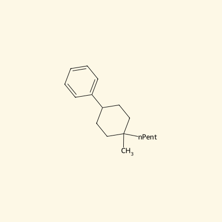 CCCCCC1(C)CCC(c2ccccc2)CC1